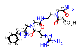 N=C(N)NCCC(=O)N(CC(=O)NCCN(CC(N)=O)C(=O)CC(=O)O)C[C@@H](N)Cc1ccccc1